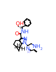 C=C/C=N\C(CN)n1nc(C(=O)N[C@H](CO)c2ccccc2)c2c1[C@H]1C[C@H]1CC2